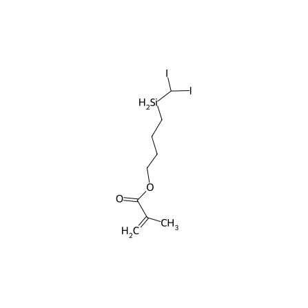 C=C(C)C(=O)OCCCC[SiH2]C(I)I